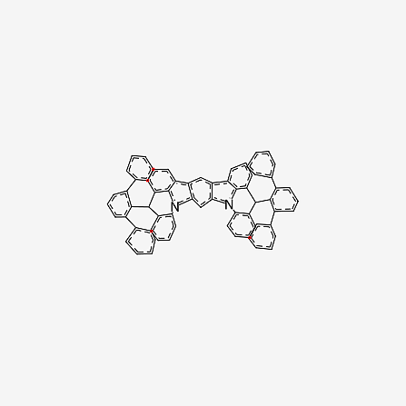 c1ccc(-c2cccc(-c3ccccc3)c2C2c3ccccc3-n3c4cc5c(cc4c4cccc2c43)c2cccc3c2n5-c2ccccc2C3c2c(-c3ccccc3)cccc2-c2ccccc2)cc1